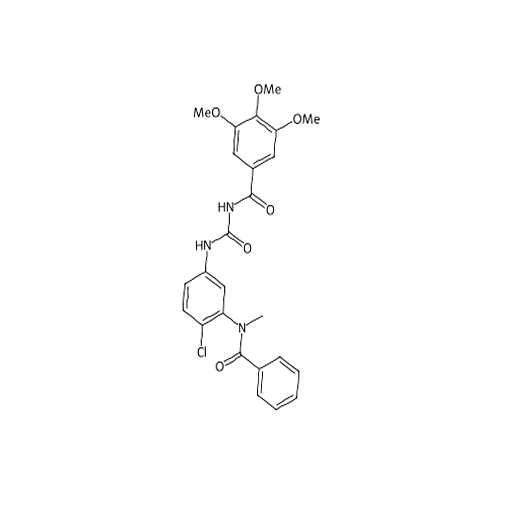 COc1cc(C(=O)NC(=O)Nc2ccc(Cl)c(N(C)C(=O)c3ccccc3)c2)cc(OC)c1OC